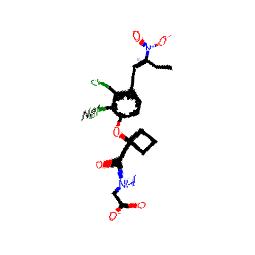 CC/C(=C\c1ccc(OC2(C(=O)NCC(=O)[O-])CCC2)c(Cl)c1Cl)[N+](=O)[O-].[Na+]